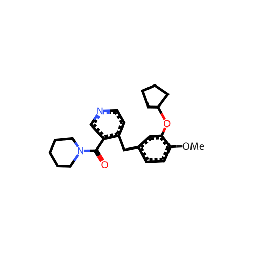 COc1ccc(Cc2ccncc2C(=O)N2CCCCC2)cc1OC1CCCC1